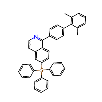 Cc1cccc(C)c1-c1ccc(-c2nccc3cc(S(c4ccccc4)(c4ccccc4)c4ccccc4)ccc23)cc1